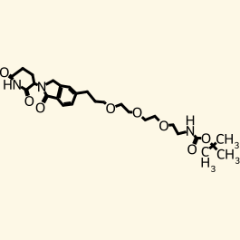 CC(C)(C)OC(=O)NCCOCCOCCOCCCc1ccc2c(c1)CN(C1CCC(=O)NC1=O)C2=O